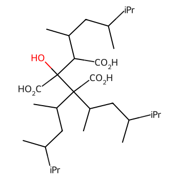 CC(C)C(C)CC(C)C(C(=O)O)C(O)(C(=O)O)C(C(=O)O)(C(C)CC(C)C(C)C)C(C)CC(C)C(C)C